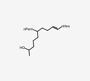 CCCCCCC=CCCC(CCCCC)CCCC(C)O